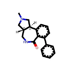 CN1C[C@H]2CNC(=O)c3c(-c4ccccc4)cccc3[C@@H]2C1